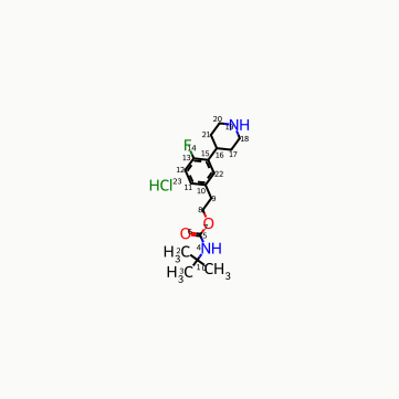 CC(C)(C)NC(=O)OCCc1ccc(F)c(C2CCNCC2)c1.Cl